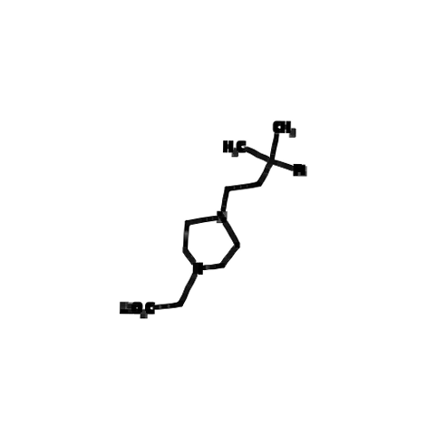 CCOC(=O)CN1CCN(CCC(C)(C)CC)CC1